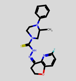 CC1CN(C(=S)N/N=C2/CCOc3ccc(F)nc32)CCN1c1ccccc1